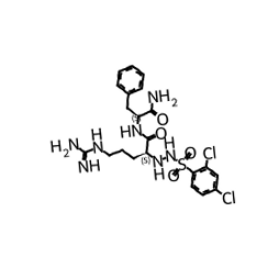 N=C(N)NCCC[C@H](NNS(=O)(=O)c1ccc(Cl)cc1Cl)C(=O)N[C@@H](Cc1ccccc1)C(N)=O